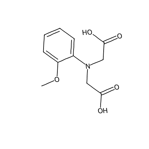 COc1ccccc1N(CC(=O)O)CC(=O)O